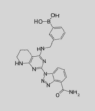 NC(=O)c1cccc2c1nnn2-c1nc2c(c(NCc3cccc(B(O)O)c3)n1)CCCN2